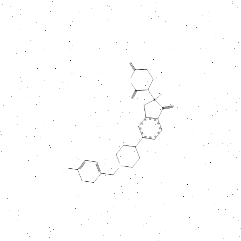 C=C1CCC(C2(C)Cc3cc(C4CCN(CC5=CC=C(C)CC5)CC4)ccc3C2=C)C(=C)N1